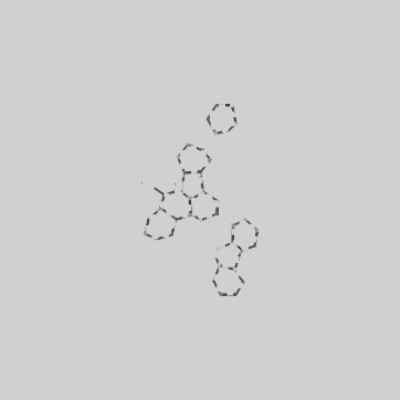 O=c1c2ccccc2c2cc(-c3cccc4c3oc3ccccc34)cc3c4cc(-c5ccccc5)ccc4n1c23